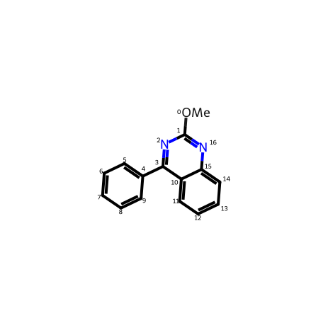 COc1nc(-c2ccccc2)c2ccccc2n1